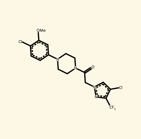 COc1cc(N2CCN(C(=O)Cn3cc(Cl)c(C(F)(F)F)n3)CC2)ccc1Cl